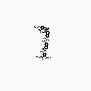 COC(=O)c1cc(NS(=O)(=O)c2ccc3ccc(NC(=O)Nc4ccc5ccc(S(=O)(=O)Nc6ccc(OC)c(C(=O)OC)c6)cc5c4)cc3c2)ccc1OC